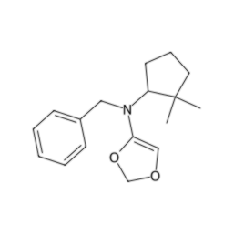 CC1(C)CCCC1N(Cc1ccccc1)C1=COCO1